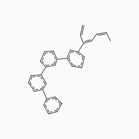 C=C/C(=C\C=C/C)c1cccc(-c2cccc(-c3cccc(-c4ccccc4)c3)c2)c1